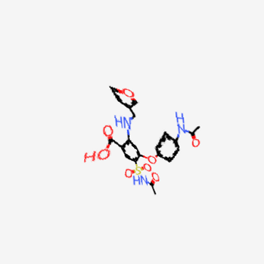 CC(=O)Nc1ccc(Oc2cc(NCc3ccoc3)c(C(=O)O)cc2S(=O)(=O)NC(C)=O)cc1